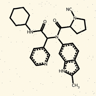 Cc1cc2ccc(N(C(=O)C3CCCN3C#N)C(C(=O)NC3CCCCC3)c3cccnc3)cc2[nH]1